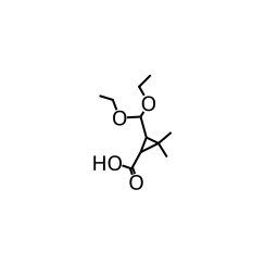 CCOC(OCC)C1C(C(=O)O)C1(C)C